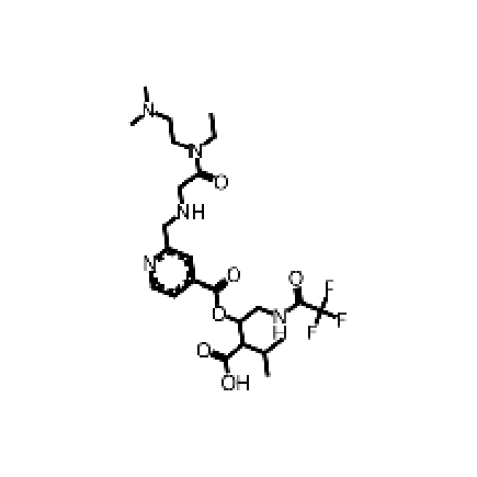 CCN(CCN(C)C)C(=O)CNCc1cc(C(=O)OC(CNC(=O)C(F)(F)F)C(C(=O)O)C(C)C)ccn1